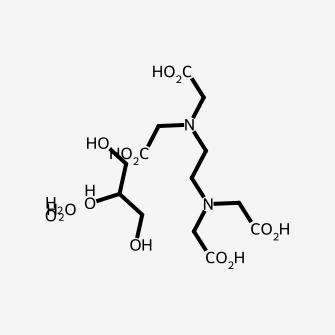 O.O.O=C(O)CN(CCN(CC(=O)O)CC(=O)O)CC(=O)O.OCC(O)CO